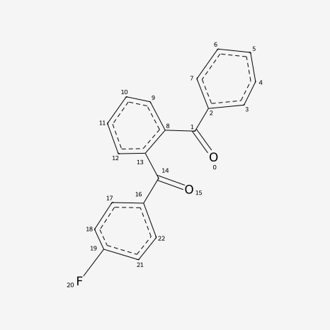 O=C(c1ccccc1)c1ccccc1C(=O)c1ccc(F)cc1